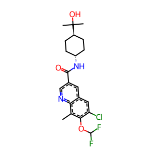 Cc1c(OC(F)F)c(Cl)cc2cc(C(=O)N[C@H]3CC[C@H](C(C)(C)O)CC3)cnc12